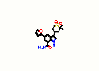 CC1(C)CC(c2c[nH]c3c(C(N)=O)cc(-c4ccco4)cc23)CCS1(=O)=O